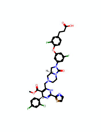 COC(=O)C1=C(CN2CCN3C(=O)N(c4cc(F)cc(Oc5ccc(CCC(=O)O)cc5F)c4)C[C@@H]3C2)NC(c2nccs2)=N[C@H]1c1ccc(F)cc1Cl